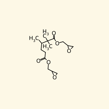 CC(CCC(=O)OCC1CO1)C(C)(C)C(=O)OCC1CO1